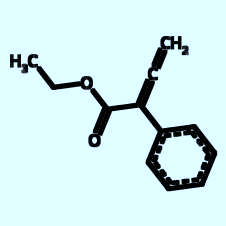 C=C=C(C(=O)OCC)c1ccccc1